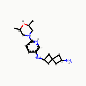 CC1CN(c2ccc(NC3CC4(CC(N)C4)C3)cn2)CC(C)O1